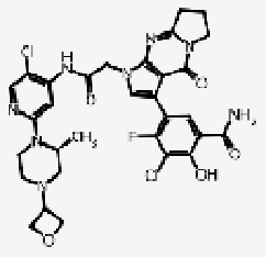 C[C@H]1CN(C2COC2)CCN1c1cc(NC(=O)Cn2cc(-c3cc(C(N)=O)c(O)c(Cl)c3F)c3c(=O)n4c(nc32)CCC4)c(Cl)cn1